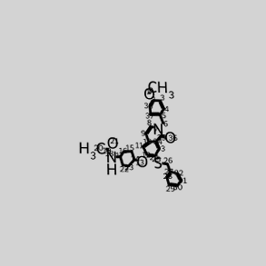 COc1ccc(Cn2ccc3cc(OC4CCC(NC(C)=O)CC4)c(SCc4ccccc4)cc3c2=O)cc1